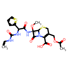 C=CNC(=O)NC(C(=O)N[C@]1(OC)C(=O)N2C(C(=O)O)=C(COC(C)=O)CSC21)c1cccs1